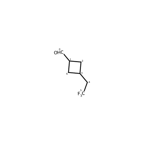 O=CC1CC(CC(F)(F)F)C1